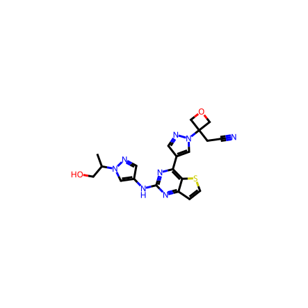 CC(CO)n1cc(Nc2nc(-c3cnn(C4(CC#N)COC4)c3)c3sccc3n2)cn1